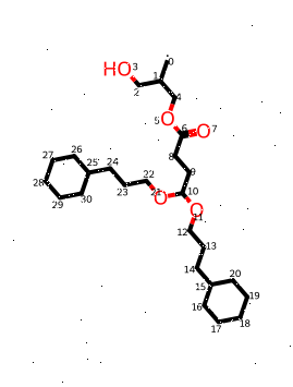 [CH2]C(CO)COC(=O)CCC(OCCCC1CCCCC1)OCCCC1CCCCC1